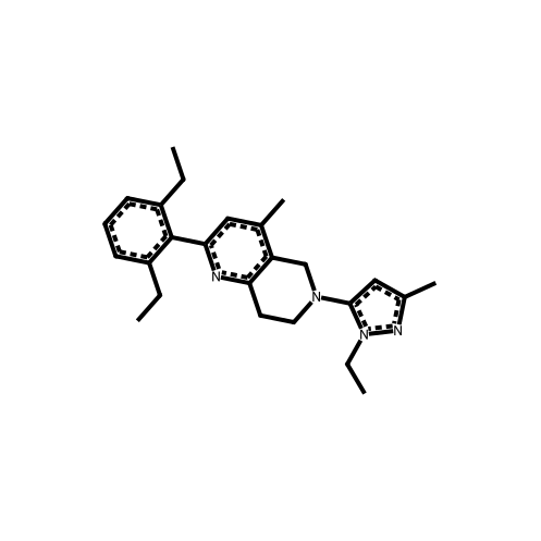 CCc1cccc(CC)c1-c1cc(C)c2c(n1)CCN(c1cc(C)nn1CC)C2